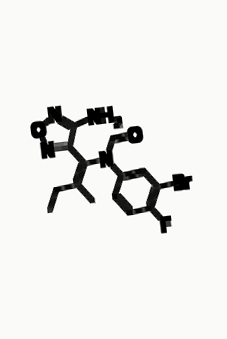 CC/C(C)=C(\c1nonc1N)N(C=O)c1ccc(F)c(Br)c1